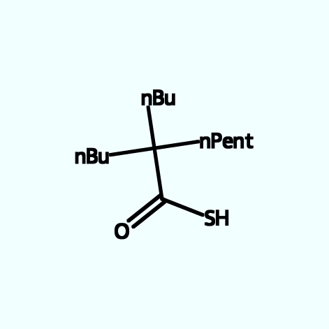 CCCCCC(CCCC)(CCCC)C(=O)S